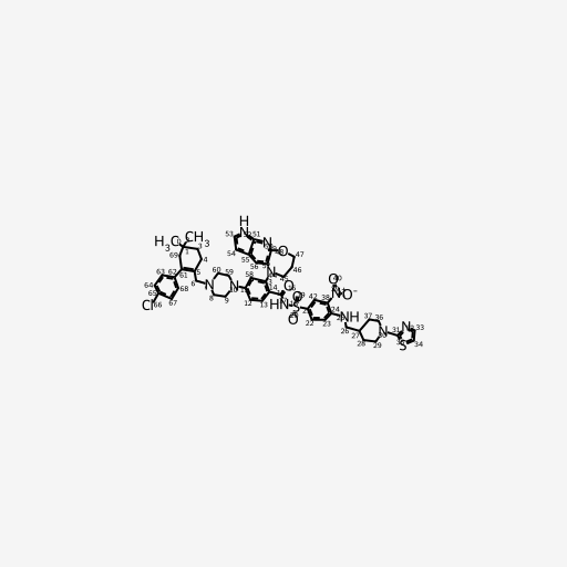 CC1(C)CCC(CN2CCN(c3ccc(C(=O)NS(=O)(=O)c4ccc(NCC5CCN(c6nccs6)CC5)c([N+](=O)[O-])c4)c(N4CCCOc5nc6[nH]ccc6cc54)c3)CC2)=C(c2ccc(Cl)cc2)C1